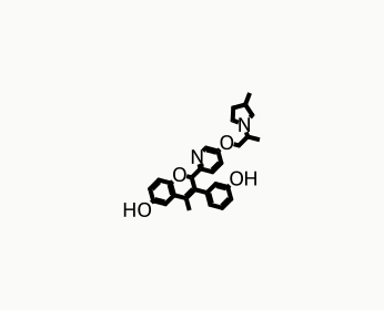 CC1=C(c2cccc(O)c2)C(c2ccc(OCC(C)N3CCC(C)C3)cn2)Oc2ccc(O)cc21